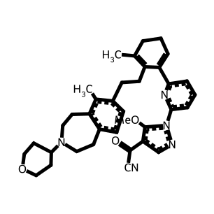 COc1c(C(=O)C#N)cnn1-c1cccc(C2=CCCC(C)=C2CCc2ccc3c(c2C)CCN(C2CCOCC2)CC3)n1